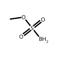 BS(=O)(=O)OC